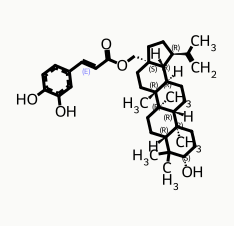 C=C(C)[C@@H]1CC[C@]2(COC(=O)/C=C/c3ccc(O)c(O)c3)CC[C@]3(C)[C@H](CC[C@@H]4[C@@]5(C)CC[C@H](O)C(C)(C)[C@@H]5CC[C@]43C)[C@@H]12